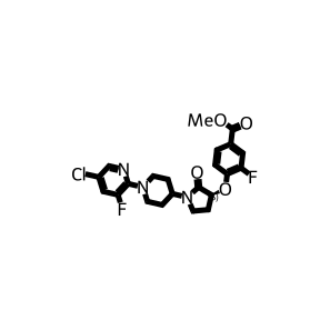 COC(=O)c1ccc(O[C@H]2CCN(C3CCN(c4ncc(Cl)cc4F)CC3)C2=O)c(F)c1